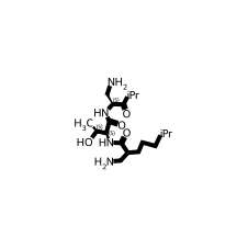 CC(C)CCCC(CN)C(=O)N[C@H](C(=O)N[C@@H](CN)C(=O)C(C)C)[C@H](C)O